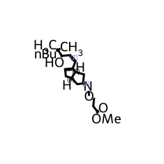 CCCCC(C)(C)C(O)/C=C\C1=CC[C@@H]2C/C(=N\OCCC(=O)OC)C[C@@H]12